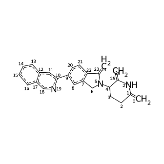 C=C1CCC(N2Cc3cc(-c4cc5ccccc5cn4)ccc3C2=C)C(=C)N1